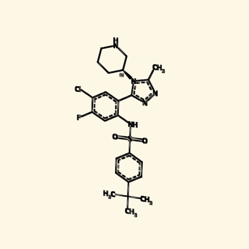 Cc1nnc(-c2cc(Cl)c(F)cc2NS(=O)(=O)c2ccc(C(C)(C)C)cc2)n1[C@H]1CCCNC1